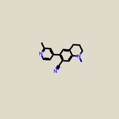 Cc1cc(-c2cc3c(cc2C#N)N(C)CCC3)ccn1